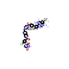 COc1cc2nc(C)nc(N[C@H](C)c3cc(N)cc(C(F)(F)F)c3)c2cc1C1CCC(C(=O)N2CCN(CC3CCC4(CC3)CCN(C(=O)c3ccc(Cl)c(N5CCC(=O)NC5=O)c3)CC4)CC2)CC1